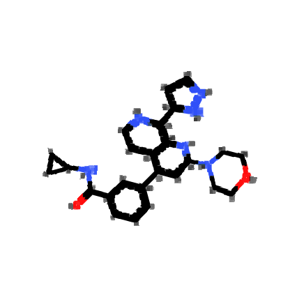 O=C(NC1CC1)c1cccc(-c2cc(N3CCOCC3)nc3c(-c4ccn[nH]4)nccc23)c1